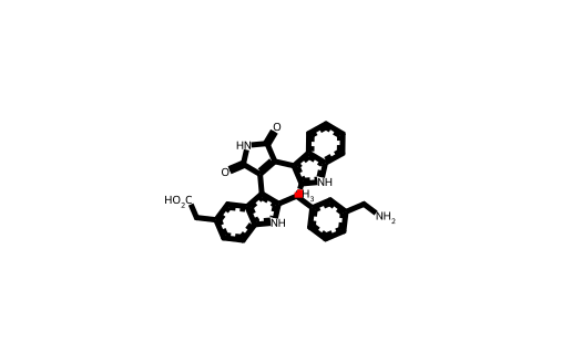 Cc1[nH]c2ccccc2c1C1=C(c2c(Cc3cccc(CN)c3)[nH]c3ccc(CC(=O)O)cc23)C(=O)NC1=O